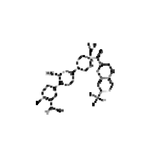 CC1CN(C2CC[C@@](C(=O)N3COc4c(F)cc(C(F)(F)F)cc4C3)(C3CC3)OC2)CCN1c1ccc(F)c(C(=O)O)c1